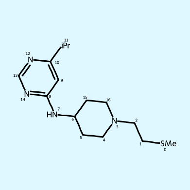 CSCCN1CCC(Nc2cc(C(C)C)ncn2)CC1